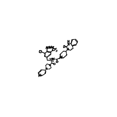 CNc1c(Cl)cc(C[C@@H](NC(=O)N2CCC(N3CCc4ccccc4NC3=O)CC2)C(=O)N2CCN(c3ccncc3)CC2)cc1C(F)(F)F